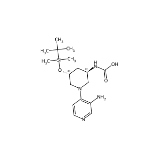 CC(C)(C)[Si](C)(C)O[C@@H]1C[C@@H](NC(=O)O)CN(c2ccncc2N)C1